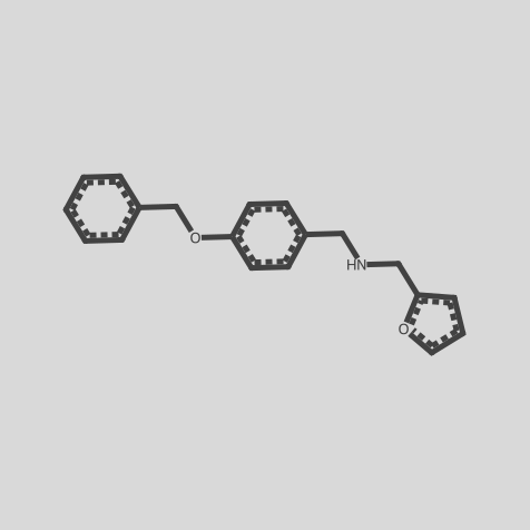 c1ccc(COc2ccc(CNCc3ccco3)cc2)cc1